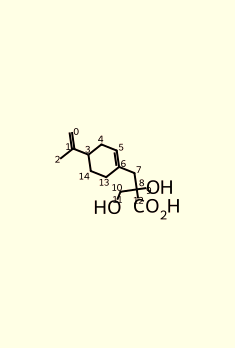 C=C(C)C1CC=C(CC(O)(CO)C(=O)O)CC1